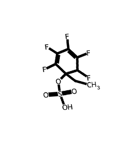 CCC1(OS(=O)(=O)O)C(F)=C(F)C(F)=C(F)C1F